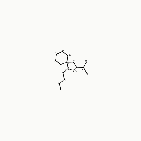 CCCC[S+]([O-])C1(CCC(C)C)CCCCC1